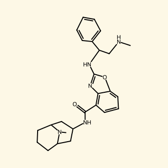 CNCC(Nc1nc2c(C(=O)NC3CC4CCCC(C3)N4C)cccc2o1)c1ccccc1